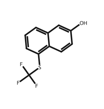 Oc1ccc2c(SC(F)(F)F)cccc2c1